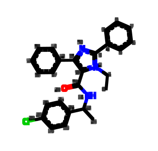 CCn1c(-c2ccccc2)nc(-c2ccccc2)c1C(=O)NC(C)c1ccc(Cl)cc1